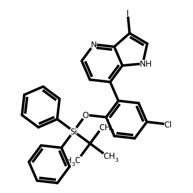 CC(C)(C)[Si](Oc1ccc(Cl)cc1-c1ccnc2c(I)c[nH]c12)(c1ccccc1)c1ccccc1